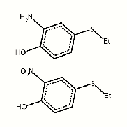 CCSc1ccc(O)c(N)c1.CCSc1ccc(O)c([N+](=O)[O-])c1